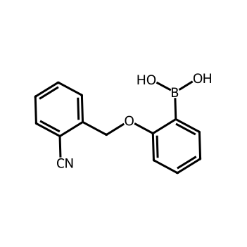 N#Cc1ccccc1COc1ccccc1B(O)O